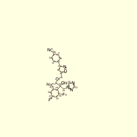 CC(OCc1cc(-c2ccc(C#N)cc2)no1)C(O)(Cn1cncn1)c1ccc(F)cc1F